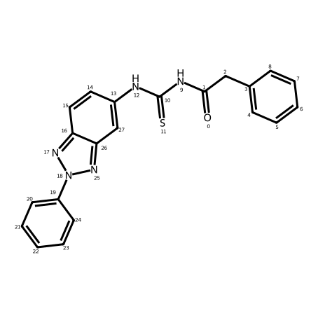 O=C(Cc1ccccc1)NC(=S)Nc1ccc2nn(-c3ccccc3)nc2c1